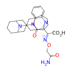 NC(=O)CO/N=C(\C(=O)O)c1nc2ccccc2n(C2CC3CCCC(C2)N3C2CC3CCCCC(C3)C2)c1=O